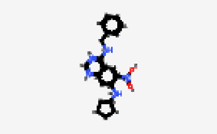 O=[N+]([O-])c1cc2c(NCc3ccccc3)ncnc2cc1NC1CCCC1